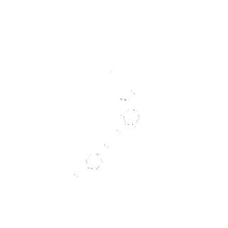 CC1CN(c2ccc(C#N)cc2F)CCN1c1nccc(C(=O)NC2C3CC4CC2CC(O)(C4)C3)n1